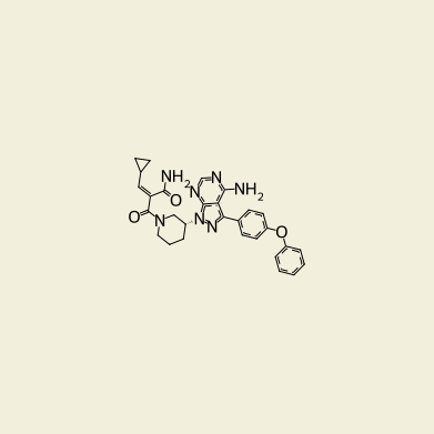 NC(=O)/C(=C\C1CC1)C(=O)N1CCC[C@@H](n2nc(-c3ccc(Oc4ccccc4)cc3)c3c(N)ncnc32)C1